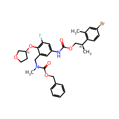 Cc1cc(Br)ccc1[C@@H](C)COC(=O)Nc1cc(F)c(O[C@H]2CCOC2)c(CN(C)C(=O)OCc2ccccc2)c1